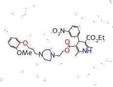 CCOC(=O)C1=C(C)NC(C)=C(C(=O)OCCN2CCN(CCCOc3ccccc3OC)CC2)C1c1cccc([N+](=O)[O-])c1